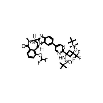 CN1C(=O)c2cccc(OC(F)F)c2[C@H]2C[C@@H]1c1nc3ccc(-c4cnc(C5(N[S+]([O-])C(C)(C)C)CC(O[Si](C)(C)C(C)(C)C)(C(F)(F)F)C5)nc4)cc3n12